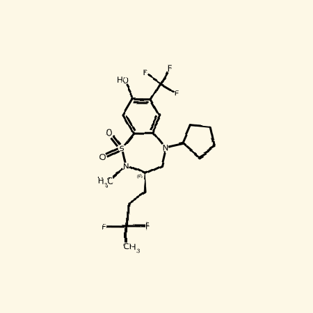 CN1[C@H](CCC(C)(F)F)CN(C2CCCC2)c2cc(C(F)(F)F)c(O)cc2S1(=O)=O